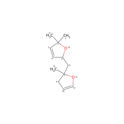 CC1(C)C=CC(CC2(C)CC=CO2)O1